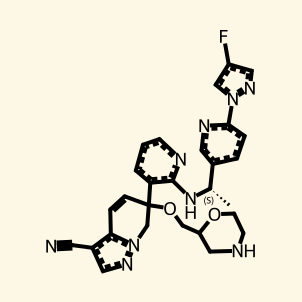 C[C@H](Nc1ncccc1C1(OCC2CNCCO2)C=Cc2c(C#N)cnn2C1)c1ccc(-n2cc(F)cn2)nc1